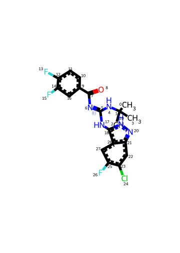 CC(C)(C)N/C(=N\C(=O)c1ccc(F)c(F)c1)Nc1[nH]nc2cc(Cl)c(F)cc12